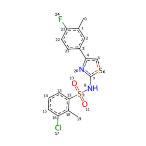 Cc1cc(-c2csc(NS(=O)(=O)c3cccc(Cl)c3C)n2)ccc1F